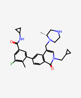 Cc1c(F)cc(C(=O)NC2CC2)cc1-c1ccc2c(=O)n(CC3CC3)cc(CN3CCNC[C@H]3C)c2c1